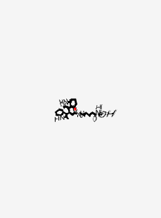 Cc1[nH]c2c(c1C(CC(=O)NCCCCCC(=O)NO)c1c(C)[nH]c3ccccc13)C=CCC2